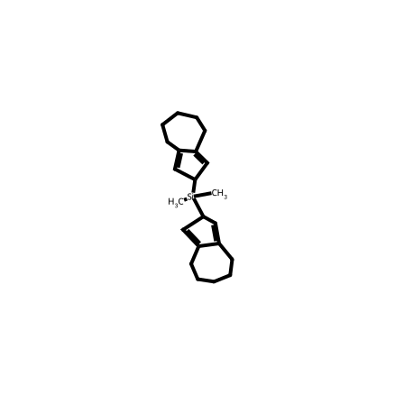 C[Si](C)(C1C=C2CCCCCC2=C1)C1C=C2CCCCCC2=C1